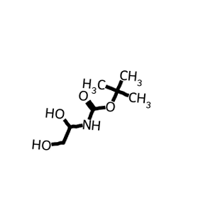 CC(C)(C)OC(=O)NC(O)CO